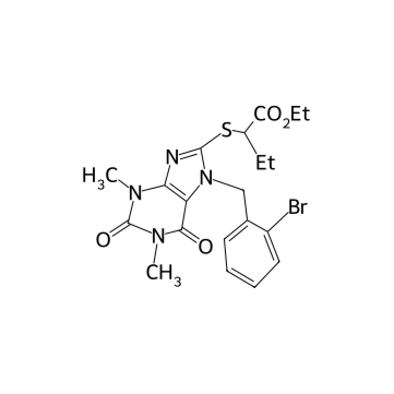 CCOC(=O)C(CC)Sc1nc2c(c(=O)n(C)c(=O)n2C)n1Cc1ccccc1Br